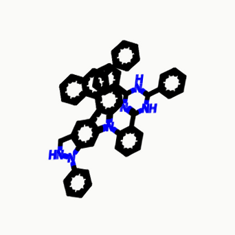 c1ccc(-c2cc3ccccc3c3c2ccc2c3c3cc4c(cc3n2-c2ccccc2C2=NC(c3ccccc3)NC(c3ccccc3)N2)N(c2ccccc2)NC4)cc1